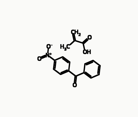 C=C(C)C(=O)O.O=C(c1ccccc1)c1ccc([N+](=O)[O-])cc1